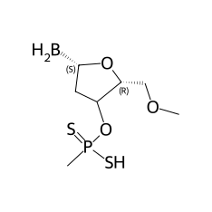 B[C@H]1CC(OP(C)(=S)S)[C@@H](COC)O1